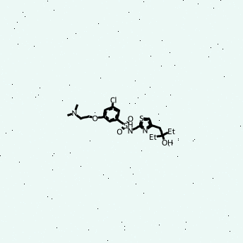 CCC(O)(CC)Cc1csc(NS(=O)(=O)c2cc(Cl)cc(OCCN(C)C)c2)n1